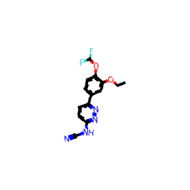 CCOc1cc(-c2ccc(NC#N)nn2)ccc1OC(F)F